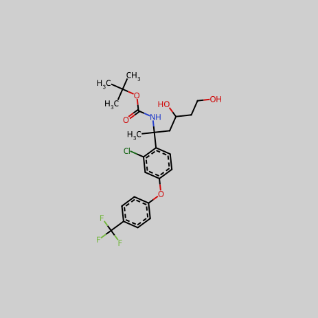 CC(C)(C)OC(=O)NC(C)(CC(O)CCO)c1ccc(Oc2ccc(C(F)(F)F)cc2)cc1Cl